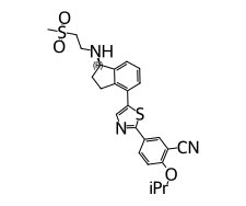 CC(C)Oc1ccc(-c2ncc(-c3cccc4c3CC[C@H]4NCCS(C)(=O)=O)s2)cc1C#N